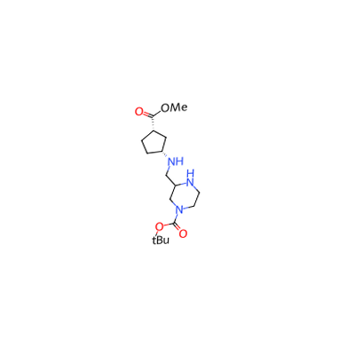 COC(=O)[C@H]1CC[C@@H](NCC2CN(C(=O)OC(C)(C)C)CCN2)C1